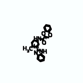 CN1CC[C@@H](NC(=O)[C@@H]2COc3ccccc3O2)C[C@@H]1c1nc2ccccc2[nH]1